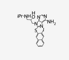 CC(C)NCC(O)Cn1c(Sc2cc3ccccc3cc2I)nc2c(N)ncnc21